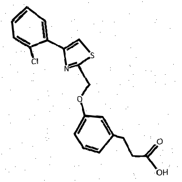 O=C(O)CCc1cccc(OCc2nc(-c3ccccc3Cl)cs2)c1